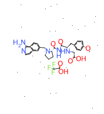 COc1ccc(C[C@@H](NCC(=O)O)C(=O)NC(=O)[C@@H]2CCCN2Cc2ccc3c(N)nccc3c2)cc1.O=C(O)C(F)(F)F